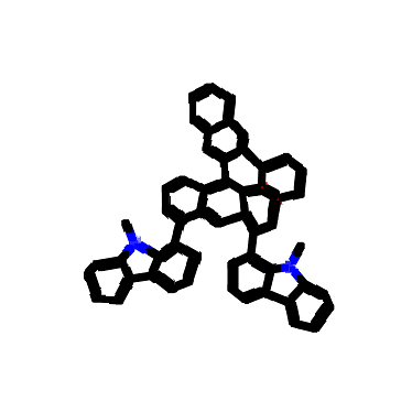 Cn1c2ccccc2c2cccc(-c3cccc4c(-c5cc6ccccc6cc5-c5ccccc5)c5cccc(-c6cccc7c8ccccc8n(C)c67)c5cc34)c21